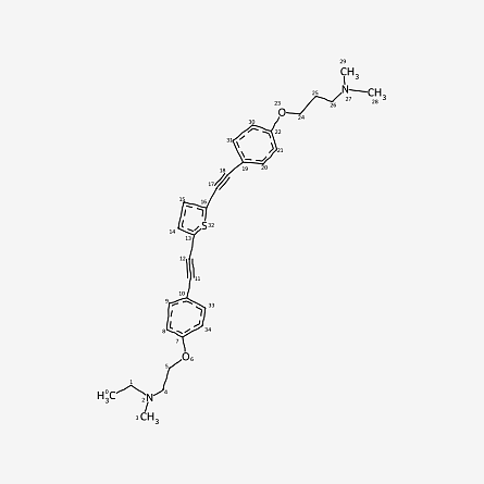 CCN(C)CCOc1ccc(C#Cc2ccc(C#Cc3ccc(OCCCN(C)C)cc3)s2)cc1